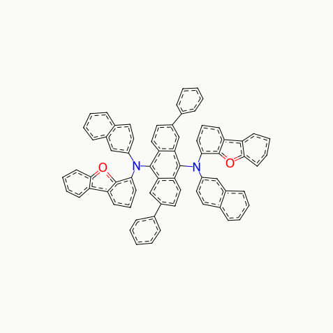 c1ccc(-c2ccc3c(N(c4ccc5ccccc5c4)c4cccc5c4oc4ccccc45)c4cc(-c5ccccc5)ccc4c(N(c4ccc5ccccc5c4)c4cccc5c4oc4ccccc45)c3c2)cc1